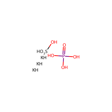 O=P(O)(O)O.O=S(=O)(O)O.[KH].[KH].[KH]